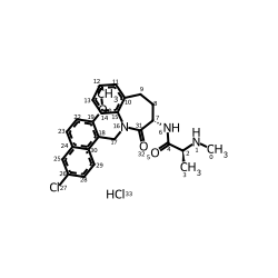 CN[C@@H](C)C(=O)N[C@H]1CCc2ccccc2N(Cc2c(OC)ccc3cc(Cl)ccc23)C1=O.Cl